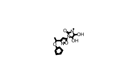 CC(Oc1ccccc1)c1cc(N2C(=O)N(C)C(O)C2O)on1